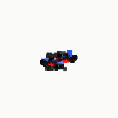 CN[C@@H](C)C(=O)N[C@@H](CC#CC[C@H](NC(=O)[C@H](C)NC)C(=O)N1CCC[C@H]1C(=O)N[C@@H]1CCCc2ccccc21)C(=O)N1CCC[C@H]1C(=O)N[C@@H]1CCCc2ccccc21